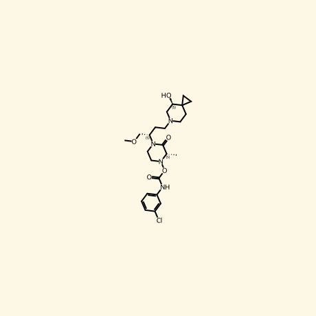 COC[C@H](CCN1CCC2(CC2)[C@H](O)C1)N1CCN(OC(=O)Nc2cccc(Cl)c2)[C@@H](C)C1=O